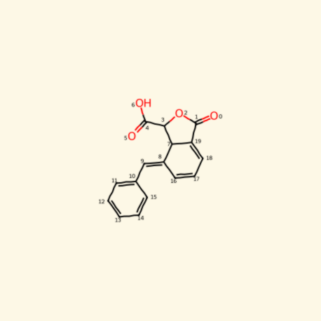 O=C1OC(C(=O)O)C2C(=Cc3ccccc3)C=CC=C12